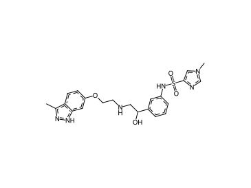 Cc1n[nH]c2cc(OCCNCC(O)c3cccc(NS(=O)(=O)c4cn(C)cn4)c3)ccc12